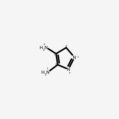 NC1=C(N)N=NC1